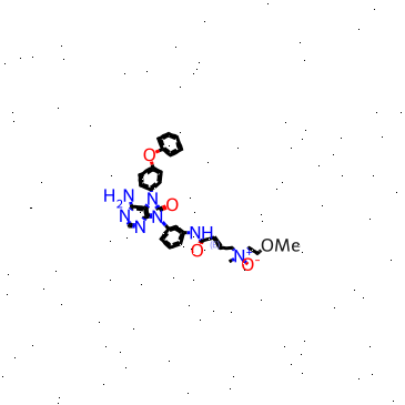 COCC[N+](C)([O-])C/C=C/C(=O)Nc1cccc(-n2c(=O)n(-c3ccc(Oc4ccccc4)cc3)c3c(N)ncnc32)c1